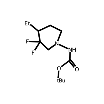 CCC1CCN(NC(=O)OC(C)(C)C)CC1(F)F